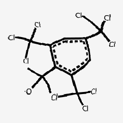 CC(C)([O])c1c(C(Cl)(Cl)Cl)cc(C(Cl)(Cl)Cl)cc1C(Cl)(Cl)Cl